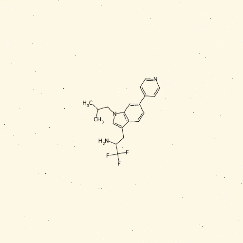 CC(C)Cn1cc(CC(N)C(F)(F)F)c2ccc(-c3ccncc3)cc21